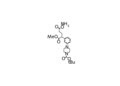 COC(=O)C(CCC(=O)ON)c1cccc(N2CCN(C(=O)OC(C)(C)C)CC2)c1